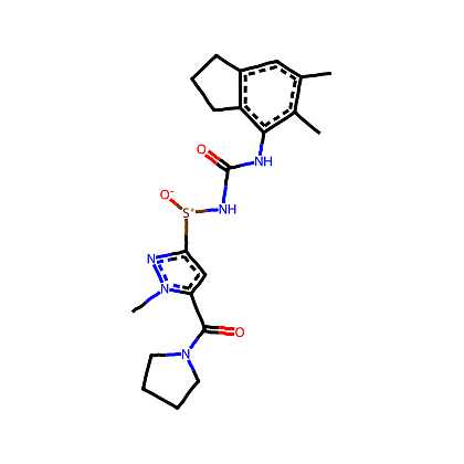 Cc1cc2c(c(NC(=O)N[S+]([O-])c3cc(C(=O)N4CCCC4)n(C)n3)c1C)CCC2